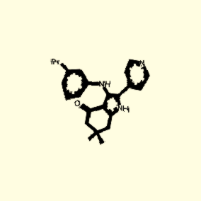 CC(C)c1cccc(Nc2c(-c3ccncc3)[nH]c3c2C(=O)CC(C)(C)C3)c1